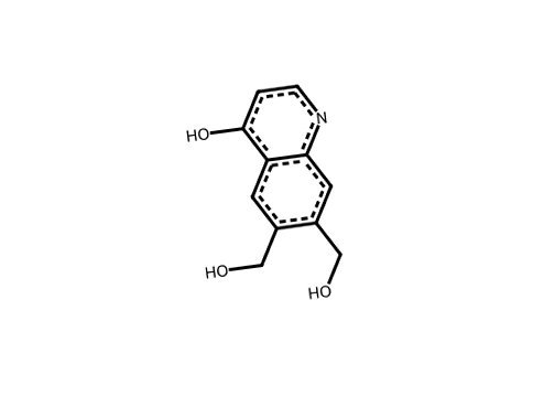 OCc1cc2nccc(O)c2cc1CO